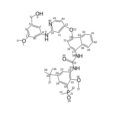 COc1cc(CO)cc(Nc2cc(Oc3ccc(NC(=O)Nc4cc(C(C)(C)C)cc(P(C)(C)=O)c4OC)c4ccccc34)ccn2)c1